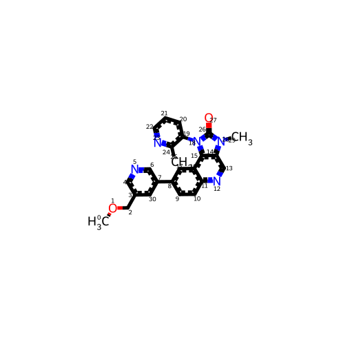 COCc1cncc(-c2ccc3ncc4c(c3c2)n(-c2cccnc2C)c(=O)n4C)c1